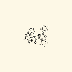 C[C@H]1CN(C(=O)[C@@H](NC(=O)c2cnco2)C2CCCC2)[C@@H]2C(=O)CO[C@@H]21